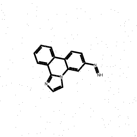 N=Nc1ccc2c3ccccc3c3nccn3c2c1